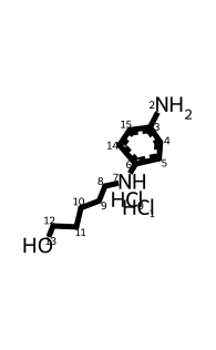 Cl.Cl.Nc1ccc(NCCCCCO)cc1